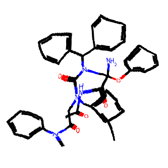 CC(=O)NC(=O)C(N)(Oc1ccccc1)N(C(=O)N(CC(=O)N(C)c1ccccc1)c1cccc(C)c1)C(c1ccccc1)c1ccccc1